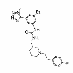 CCc1cc(NC(=O)NCC2CCCN(CCc3ccc(F)cc3)C2)cc(-c2nnnn2C)c1